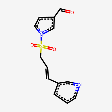 O=Cc1ccn(S(=O)(=O)CC=Cc2cccnc2)c1